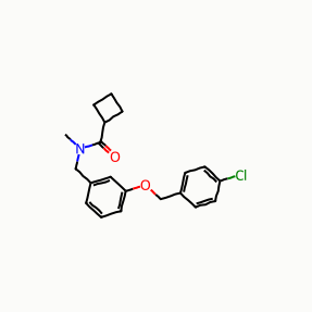 CN(Cc1cccc(OCc2ccc(Cl)cc2)c1)C(=O)C1CCC1